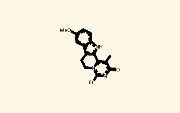 CCc1nc(=O)c(C)c2n1CCc1c-2[nH]c2ccc(OC)cc12